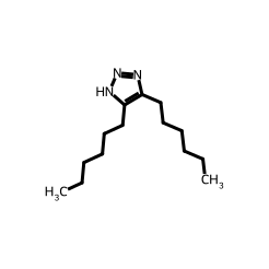 CCCCCCc1nn[nH]c1CCCCCC